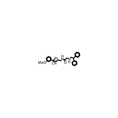 COc1cccc(C(C#N)(CCCNC(=O)CNCC(c2ccccc2)c2ccccc2)C(C)C)c1